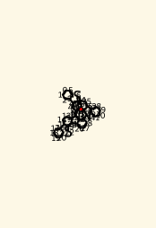 c1ccc2c(c1)sc1ccc(-n3c4ccc5c6ccccc6sc5c4c4cccc(-n5c6ccccc6c6ccccc65)c43)cc12